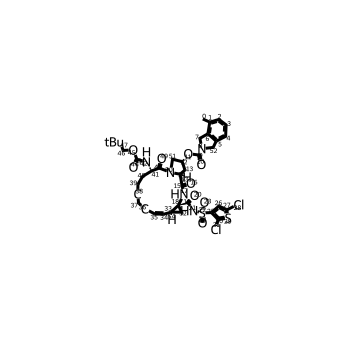 Cc1cccc2c1CN(C(=O)O[C@@H]1C[C@H]3C(=O)N[C@]4(C(=O)NS(=O)(=O)c5cc(Cl)sc5Cl)C[C@H]4/C=C\CCCCC[C@H](NC(=O)OCC(C)(C)C)C(=O)N3C1)C2